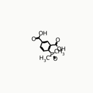 CP(C)(=O)c1ccc(C(=O)O)cc1C(=O)O